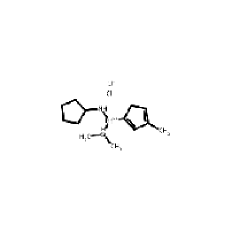 CC1=CC[C]([Hf+2]([NH]C2CCCC2)[SiH](C)C)=C1.[Cl-].[Cl-]